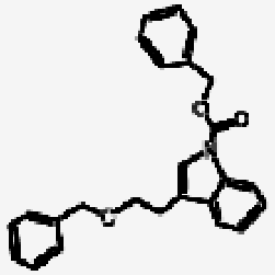 O=C(OCc1ccccc1)n1cc(CCOCc2ccccc2)c2ccccc21